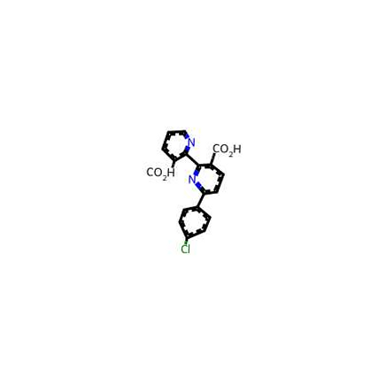 O=C(O)c1cccnc1-c1nc(-c2ccc(Cl)cc2)ccc1C(=O)O